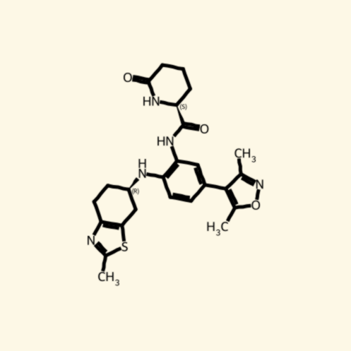 Cc1nc2c(s1)C[C@H](Nc1ccc(-c3c(C)noc3C)cc1NC(=O)[C@@H]1CCCC(=O)N1)CC2